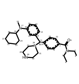 CCN(CC)C(=O)c1ccc([C@H](c2cccc(N(C)C3CCCCC3)c2)N2CCNCC2)cc1